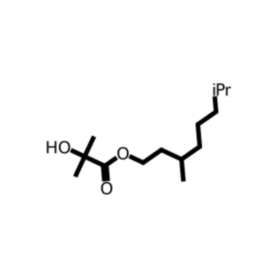 CC(C)CCCC(C)CCOC(=O)C(C)(C)O